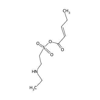 CCC=CC(=O)OS(=O)(=O)CCNCC